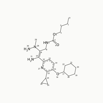 CCCCOC(=O)NC/C(=C(/N)c1ccc(OC2CCCCC2)c(C2CC2)n1)N(C)N